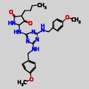 CCCCC1C(=O)NC(Nc2nc(NCc3ccc(OC)cc3)nc(NCc3ccc(OC)cc3)n2)C1=O